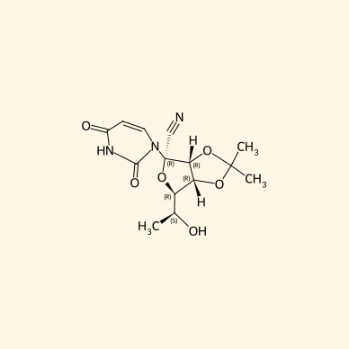 C[C@H](O)[C@H]1O[C@@](C#N)(n2ccc(=O)[nH]c2=O)[C@@H]2OC(C)(C)O[C@H]12